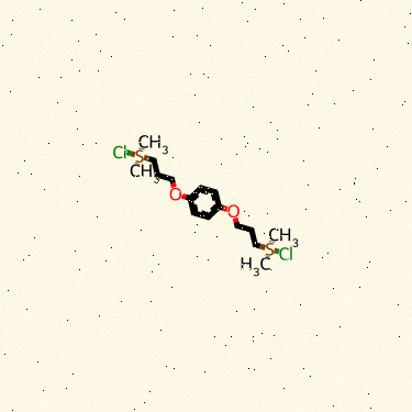 CS(C)(Cl)CCCOc1ccc(OCCCS(C)(C)Cl)cc1